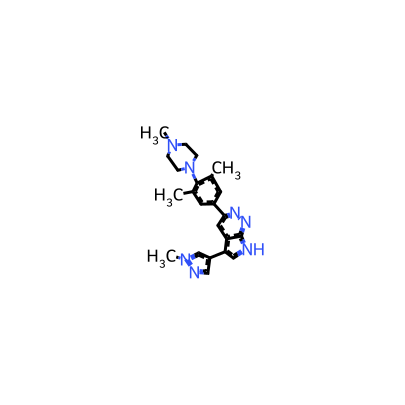 Cc1cc(-c2cc3c(-c4cnn(C)c4)c[nH]c3nn2)cc(C)c1N1CCN(C)CC1